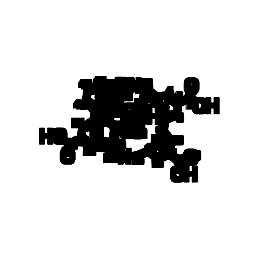 O=C(O)c1cc2nc(c1)-c1cc(C(=O)O)cc(n1)CN1Cc3cc(C(=O)O)cc(n3)-c3cc(C(=O)O)cc(n3)CN(Cc3cccc(n3)-c3cc(C(=O)ON=S)cc(n3)C1)C2